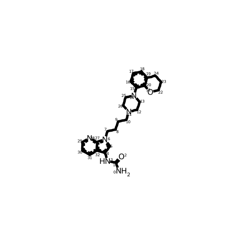 NC(=O)Nc1cn(CCCCN2CCN(c3cccc4c3OCCC4)CC2)c2ncccc12